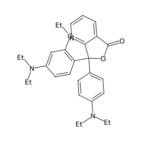 CCOc1cc(N(CC)CC)ccc1C1(c2ccc(N(CC)CC)cc2)OC(=O)c2cccnc21